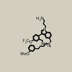 COc1cccc(CCCCN(C)Cc2ccc3c(c2)c(-c2ccc(OC(F)(F)F)cc2CN)cn3CCCN)c1